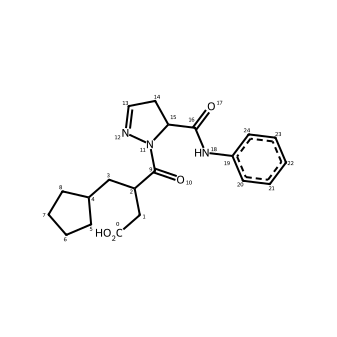 O=C(O)CC(CC1CCCC1)C(=O)N1N=CCC1C(=O)Nc1ccccc1